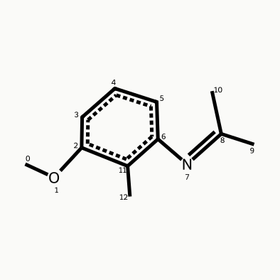 COc1cccc(N=C(C)C)c1C